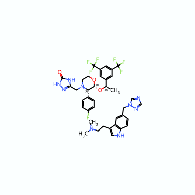 CN(C)CCc1c[nH]c2ccc(Cn3cncn3)cc12.C[C@@H](O[C@H]1OCCN(Cc2n[nH]c(=O)[nH]2)[C@H]1c1ccc(F)cc1)c1cc(C(F)(F)F)cc(C(F)(F)F)c1